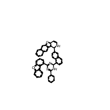 C1=Cc2oc3cc4ccccc4cc3c2C(c2ccc3c(C4N=C(c5cccc6oc7ccccc7c56)N=C(c5ccccc5)N4)cccc3c2)N1